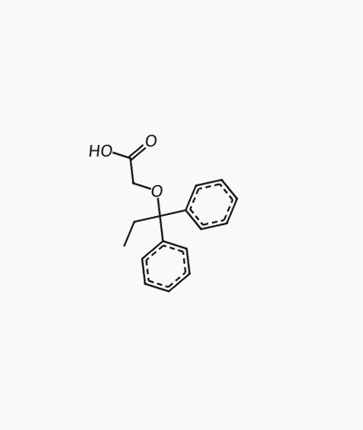 CCC(OCC(=O)O)(c1ccccc1)c1ccccc1